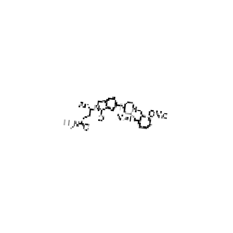 COc1cccc(OC)c1CN1CCN(c2ccc3c(c2)C(=O)N(C(CCC(N)=O)C(C)=O)C3)CC1